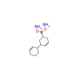 NOB(ON)C1CC=CC(C2C=CCCC2)C1